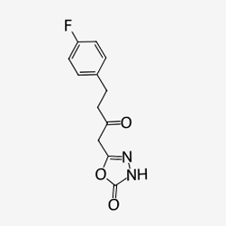 O=C(CCc1ccc(F)cc1)Cc1n[nH]c(=O)o1